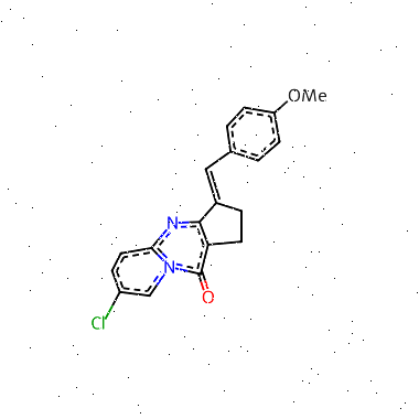 COc1ccc(C=C2CCc3c2nc2ccc(Cl)cn2c3=O)cc1